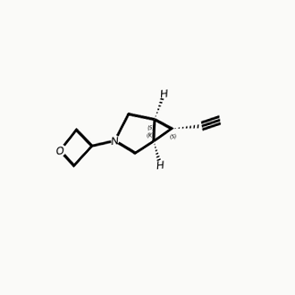 C#C[C@@H]1[C@H]2CN(C3COC3)C[C@@H]12